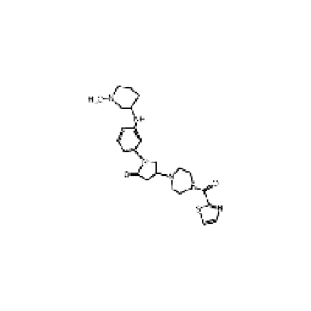 CN1CCCC(Nc2cccc(N3CC(N4CCN(C(=O)c5nccs5)CC4)CC3=O)c2)C1